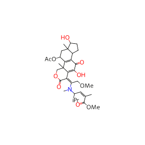 COCC(=C1C(=O)OCC2(C)C1=C(O)C(=O)C1=C2C(OC(C)=O)CC2(C)C(O)CCC12)N(C)C(C=C(C)C(=O)OC)C(C)C